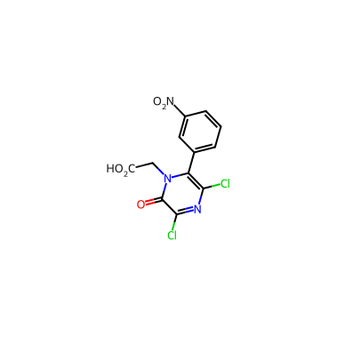 O=C(O)Cn1c(-c2cccc([N+](=O)[O-])c2)c(Cl)nc(Cl)c1=O